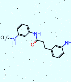 Nc1cccc(CCC(=O)Nc2cccc(NC(=O)O)c2)c1